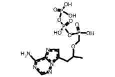 CC(Cc1cnc2c(N)ncnn12)OCP(=O)(O)OP(=O)(O)OP(=O)(O)O